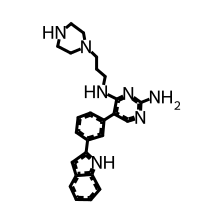 Nc1ncc(-c2cccc(-c3cc4ccccc4[nH]3)c2)c(NCCCN2CCNCC2)n1